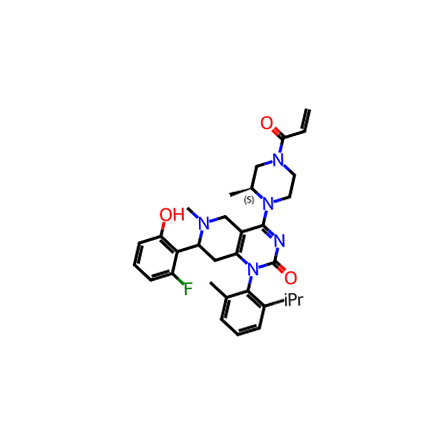 C=CC(=O)N1CCN(c2nc(=O)n(-c3c(C)cccc3C(C)C)c3c2CN(C)C(c2c(O)cccc2F)C3)[C@@H](C)C1